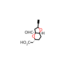 C#CC1C[C@]2(C=O)O[C@@H](CC(=O)O)CC[C@@H]2O1